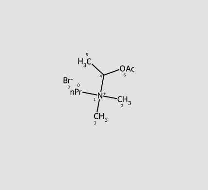 CCC[N+](C)(C)C(C)OC(C)=O.[Br-]